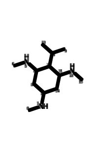 CNC1CC(NC)C(C(C)C)C(NC)C1